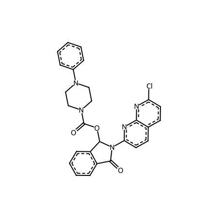 O=C(OC1c2ccccc2C(=O)N1c1ccc2ccc(Cl)nc2n1)N1CCN(c2ccccc2)CC1